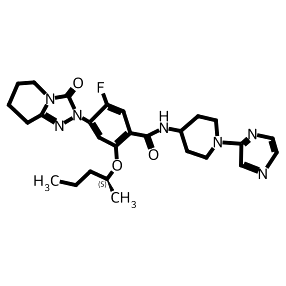 CCC[C@H](C)Oc1cc(-n2nc3n(c2=O)CCCC3)c(F)cc1C(=O)NC1CCN(c2cnccn2)CC1